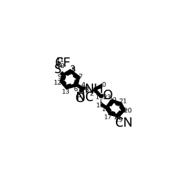 C[C@@](C#N)(NC(=O)c1ccc(SC(F)(F)F)cc1)[C@H]1Cc2cc(C#N)ccc2O1